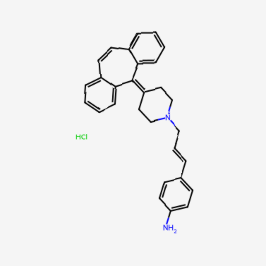 Cl.Nc1ccc(C=CCN2CCC(=C3c4ccccc4C=Cc4ccccc43)CC2)cc1